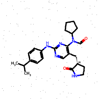 CC(C)c1ccc(Nc2ncc(C[C@@H]3CCNC3=O)c(N(C=O)C3CCCC3)n2)cc1